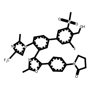 Cc1nc(-c2cc(-c3cc(F)c(CO)c(S(C)(=O)=O)c3)ccc2-n2cc(C(F)(F)F)nc2C)c(-c2ccc(N3CCCC3=O)cc2)o1